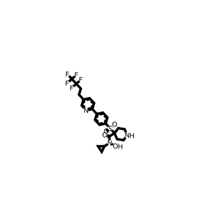 O=C(N(O)C1CC1)C1(S(=O)(=O)c2ccc(-c3ccc(CCC(F)(F)C(F)(F)F)cn3)cc2)CCNCC1